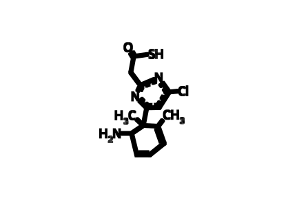 CC1=CC=CC(N)C1(C)c1cc(Cl)nc(CC(=O)S)n1